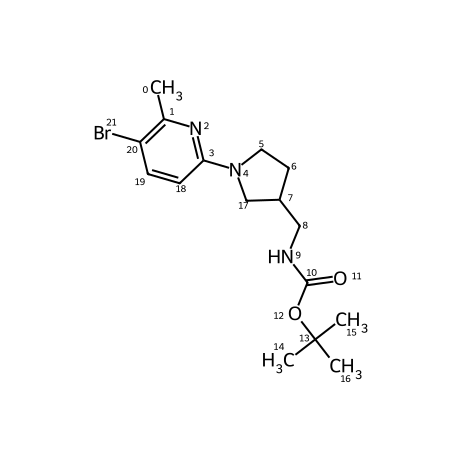 Cc1nc(N2CCC(CNC(=O)OC(C)(C)C)C2)ccc1Br